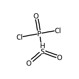 O=[SH](=O)P(=O)(Cl)Cl